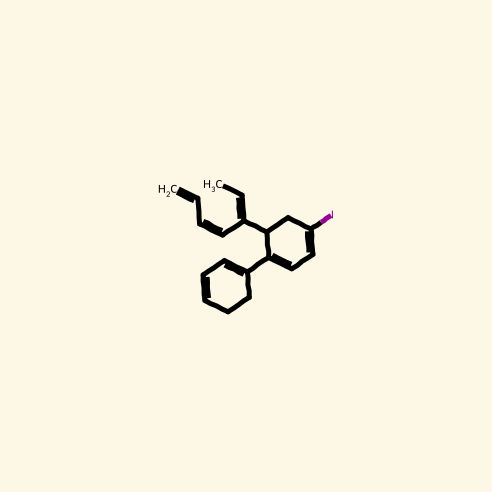 C=C/C=C\C(=C/C)C1CC(I)=CC=C1C1=CC=CCC1